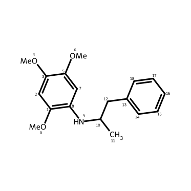 COc1cc(OC)c(OC)cc1NC(C)Cc1ccccc1